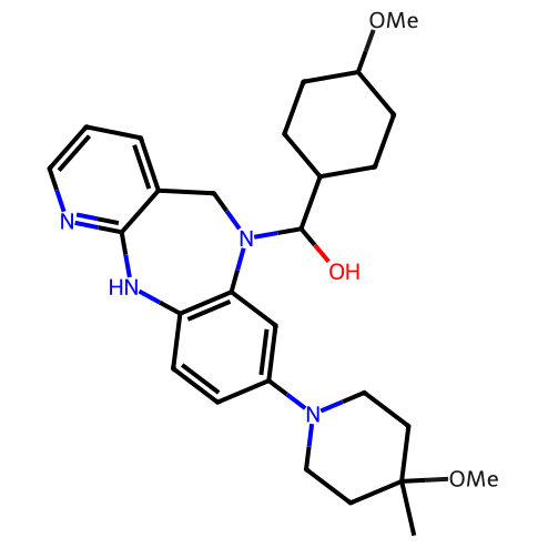 COC1CCC(C(O)N2Cc3cccnc3Nc3ccc(N4CCC(C)(OC)CC4)cc32)CC1